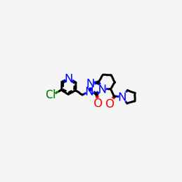 O=C(C1CCCc2nn(Cc3cncc(Cl)c3)c(=O)n21)N1CCCC1